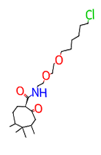 CC1CC[C@@H](C(=O)NCCOCCOCCCCCCCl)C(=O)CC(C)C1(C)C